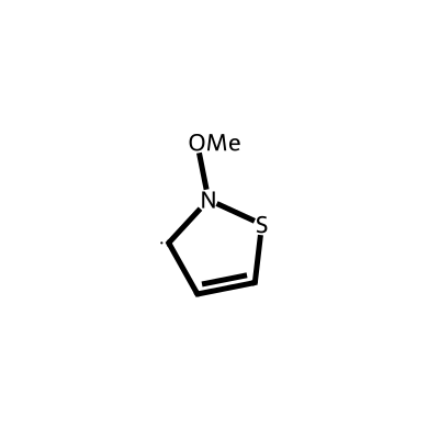 CON1[CH]C=CS1